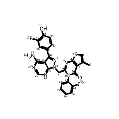 Cc1csc2nc(Cn3nc(-c4ccc(O)c(F)c4)c4c(N)ncnc43)n(-c3ccccc3F)c(=O)c12